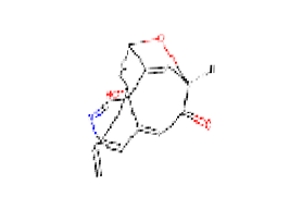 C=CCC1(O)CCC2O[C@@H]3C=C2C12C=NC=CC2=CC3=O